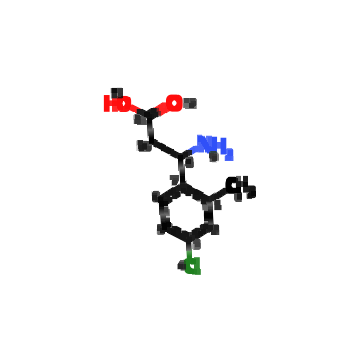 Cc1cc(Cl)ccc1C(N)CC(=O)O